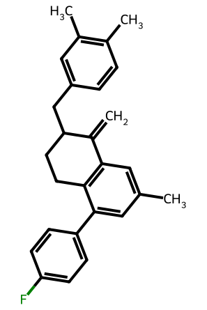 C=C1c2cc(C)cc(-c3ccc(F)cc3)c2CCC1Cc1ccc(C)c(C)c1